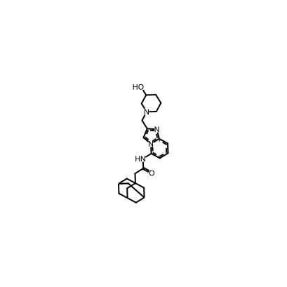 O=C(CC12CC3CC(CC(C3)C1)C2)Nc1cccc2nc(CN3CCCC(O)C3)cn12